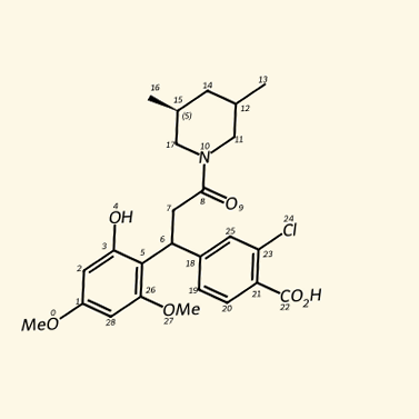 COc1cc(O)c(C(CC(=O)N2CC(C)C[C@H](C)C2)c2ccc(C(=O)O)c(Cl)c2)c(OC)c1